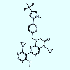 COc1ncnc(C2CC2)c1-c1ncc2c(n1)N(Cc1ccc(-c3nc(C(C)(F)F)cn3C)cc1)CC(=O)N2C1CC1